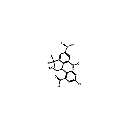 CCN(c1ccc(Br)cc1[N+](=O)[O-])c1c([N+](=O)[O-])cc([N+](=O)[O-])cc1C(F)(F)F